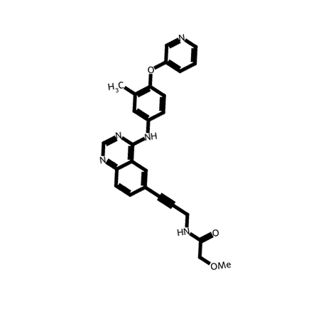 COCC(=O)NCC#Cc1ccc2ncnc(Nc3ccc(Oc4cccnc4)c(C)c3)c2c1